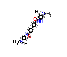 CN(C)c1ccc(NC(=O)c2ccc(-c3ccc(C(=O)Nc4ccc(N(C)C)cc4)cc3)cc2)cc1